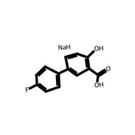 O=C(O)c1cc(-c2ccc(F)cc2)ccc1O.[NaH]